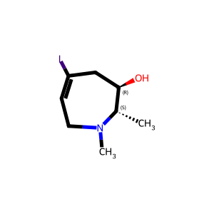 C[C@H]1[C@H](O)CC(I)=CCN1C